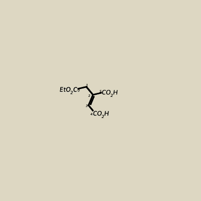 CCOC(=O)CC(=CC(=O)O)C(=O)O